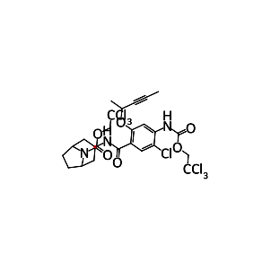 CC#CC(C)Oc1cc(NC(=O)OCC(Cl)(Cl)Cl)c(Cl)cc1C(=O)NC1CC2CCC(C1)N2C(=O)OCC(Cl)(Cl)Cl